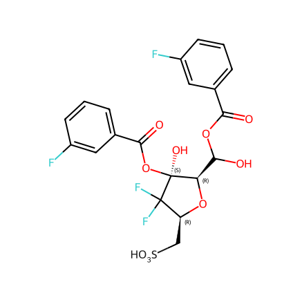 O=C(OC(O)[C@H]1O[C@@H](CS(=O)(=O)O)C(F)(F)[C@@]1(O)OC(=O)c1cccc(F)c1)c1cccc(F)c1